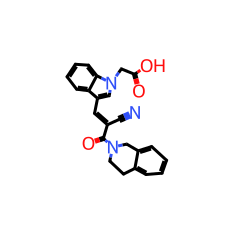 N#C/C(=C\c1cn(CC(=O)O)c2ccccc12)C(=O)N1CCc2ccccc2C1